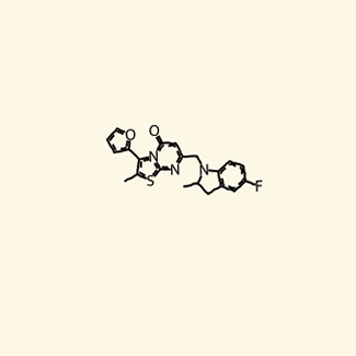 Cc1sc2nc(CN3c4ccc(F)cc4CC3C)cc(=O)n2c1-c1ccco1